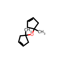 CC1(OC2(C)CC=CC2)CC=CC1